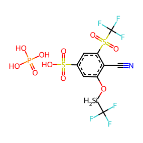 N#Cc1c(O[SiH2]C(F)(F)F)cc(S(=O)(=O)O)cc1S(=O)(=O)C(F)(F)F.O=P(O)(O)O